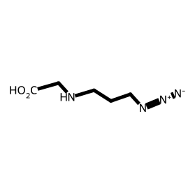 [N-]=[N+]=NCCCNCC(=O)O